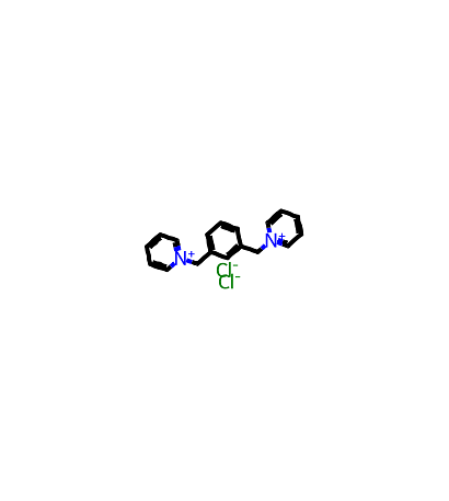 [Cl-].[Cl-].c1cc[n+](Cc2cccc(C[n+]3ccccc3)c2)cc1